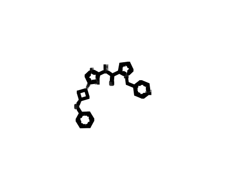 O=C(Nc1nc([C@H]2C[C@H](Oc3ccccc3)C2)cs1)c1cccn1Cc1ccncc1